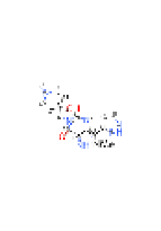 CN/C(=C1/N=CN(CC2(O)CCN(C)CC2)C(=O)C1=N)c1ccn[nH]1